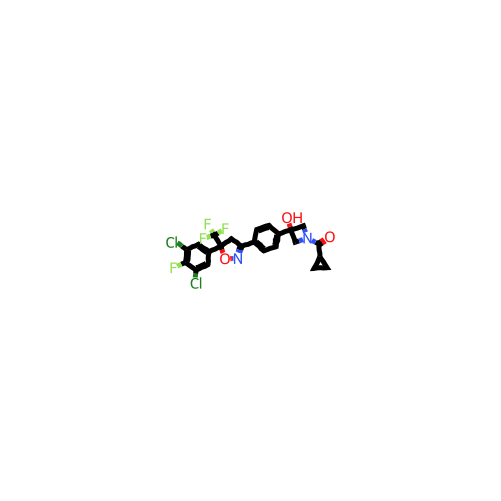 O=C(C1CC1)N1CC(O)(c2ccc(C3=NOC(c4cc(Cl)c(F)c(Cl)c4)(C(F)(F)F)C3)cc2)C1